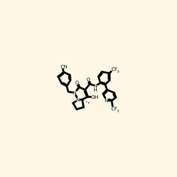 C[C@]12CCCN1N(Cc1ccc(C#N)cc1)C(=O)C(C(=O)Nc1ccc(C(F)(F)F)cc1-c1ccc(C(F)(F)F)nc1)=C2O